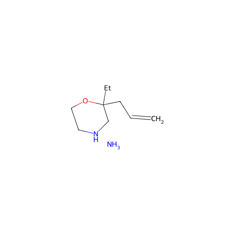 C=CCC1(CC)CNCCO1.N